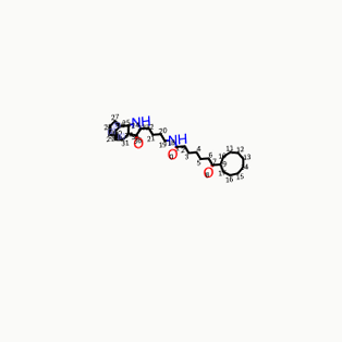 O=C(CCCCCC(=O)C1CCCCCCCC1)NCCCCC1NC2/C3=C/C=C\C=C(C=C3)\C2C1=O